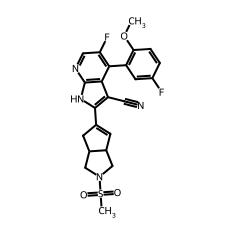 COc1ccc(F)cc1-c1c(F)cnc2[nH]c(C3=CC4CN(S(C)(=O)=O)CC4C3)c(C#N)c12